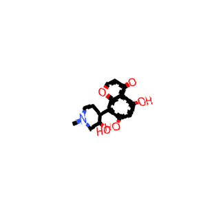 CN1CCC(c2c(O)cc(O)c3c(=O)ccoc23)C(O)C1